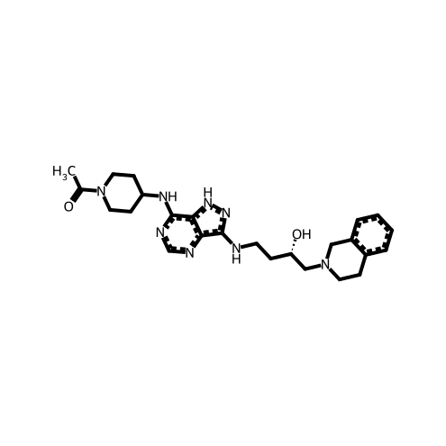 CC(=O)N1CCC(Nc2ncnc3c(NCC[C@H](O)CN4CCc5ccccc5C4)n[nH]c23)CC1